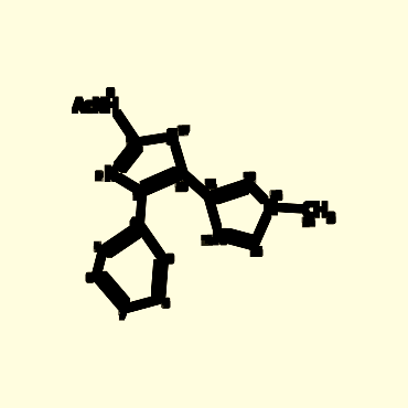 CC(=O)Nc1nc(-c2ccccc2)c(-c2cn(C)cn2)s1